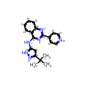 CC(C)(C)c1cc(Nc2nc(-c3ccncc3)nc3ccccc23)[nH]n1